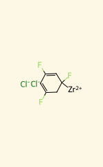 FC1=C[C](F)([Zr+2])CC(F)=C1.[Cl-].[Cl-]